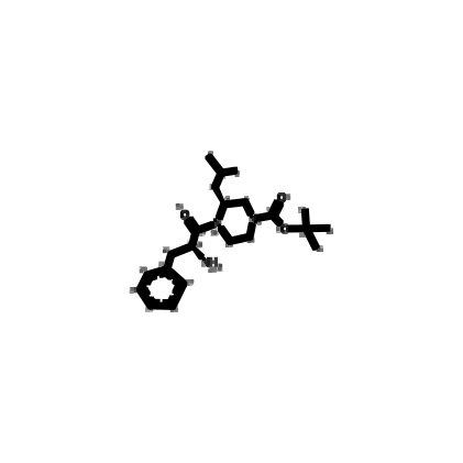 CC(C)C[C@H]1CN(C(=O)OC(C)(C)C)CCN1C(=O)[C@@H](N)Cc1ccccc1